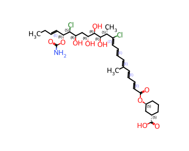 CC/C=C/[C@@H](OC(N)=O)[C@@H](Cl)[C@H](O)C[C@@H](O)[C@@H](O)[C@H](O)[C@H](C)/C(Cl)=C/C=C/C=C(C)/C=C/C=C/C(=O)O[C@H]1CCC[C@H](C(=O)O)C1